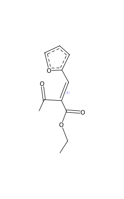 CCOC(=O)/C(=C/c1ccco1)C(C)=O